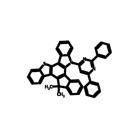 CC1(C)c2ccccc2-c2c1c1c3ccccc3sc1c1c3ccccc3n(-c3cc(-c4ccccc4)nc(-c4ccccc4)n3)c21